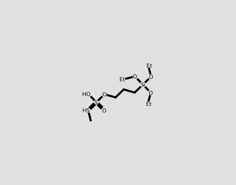 CCO[Si](CCCOS(=O)(O)=[SH]C)(OCC)OCC